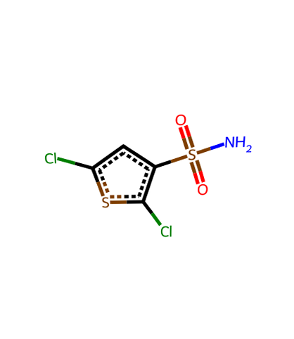 NS(=O)(=O)c1cc(Cl)sc1Cl